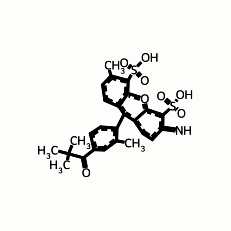 Cc1cc(C(=O)C(C)(C)C)ccc1-c1c2ccc(=N)c(S(=O)(=O)O)c-2oc2c(S(=O)(=O)O)c(C)ccc12